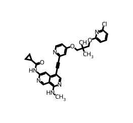 CNc1ncc(C#Cc2cc(OCC(C)(C)COc3cccc(Cl)n3)ccn2)c2cc(NC(=O)C3CC3)ncc12